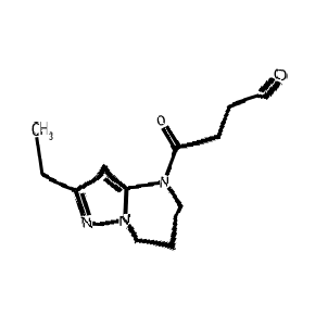 CCc1cc2n(n1)CCCN2C(=O)CCC=O